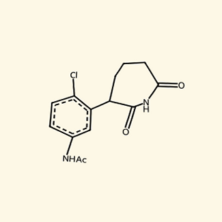 CC(=O)Nc1ccc(Cl)c(C2CCCC(=O)NC2=O)c1